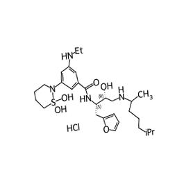 CCNc1cc(C(=O)N[C@@H](Cc2ccco2)[C@H](O)CNC(C)CCCC(C)C)cc(N2CCCCS2(O)O)c1.Cl